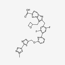 Cn1cc(-c2ncc(COc3cccc(-c4cc(F)c(Cc5nc6ccc(C(=O)O)cc6n5CC5CCO5)cc4F)n3)s2)cn1